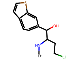 CCNC(CCCl)C(O)c1ccc2ccsc2c1